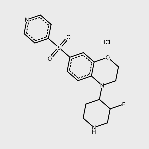 Cl.O=S(=O)(c1ccncc1)c1ccc2c(c1)OCCN2C1CCNCC1F